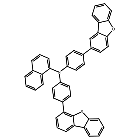 c1ccc2c(N(c3ccc(-c4ccc5oc6ccccc6c5c4)cc3)c3ccc(-c4cccc5c4sc4ccccc45)cc3)cccc2c1